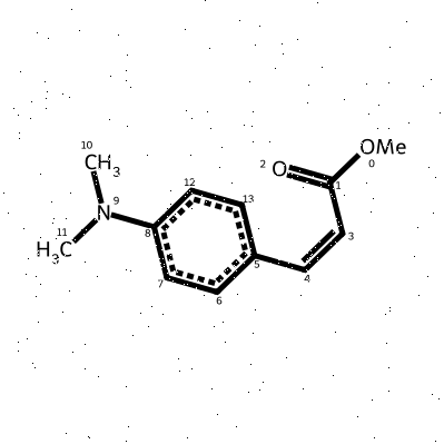 COC(=O)/C=C\c1ccc(N(C)C)cc1